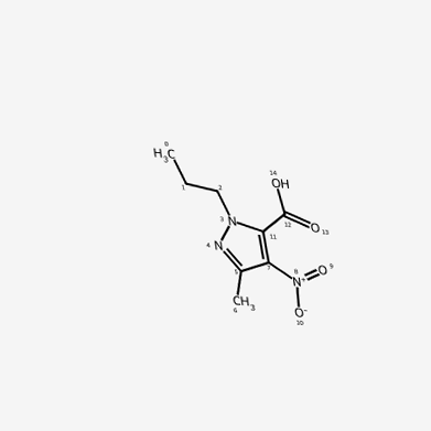 CCCn1nc(C)c([N+](=O)[O-])c1C(=O)O